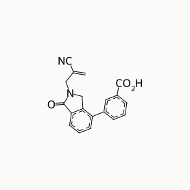 C=C(C#N)CN1Cc2c(cccc2-c2cccc(C(=O)O)c2)C1=O